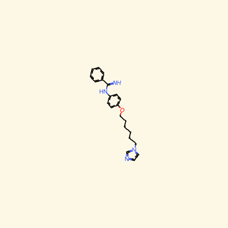 N=C(Nc1ccc(OCCCCCCn2ccnc2)cc1)c1ccccc1